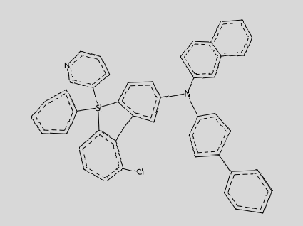 Clc1cccc2c1-c1cc(N(c3ccc(-c4ccccc4)cc3)c3ccc4ccccc4c3)ccc1[Si]2(c1ccccc1)c1cccnc1